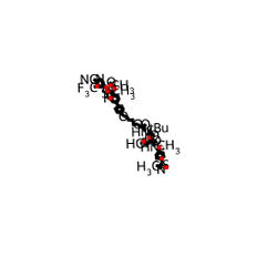 Cc1ncsc1-c1ccc([C@H](C)NC(=O)[C@@H]2C[C@@H](O)CN2C(=O)[C@@H](NC(=O)COCCCCOc2ccc(-c3ccc(N4C(=S)N(c5cnc(C#N)c(C(F)(F)F)c5)C(=O)C4(C)C)c(F)c3)cc2)C(C)(C)C)cc1